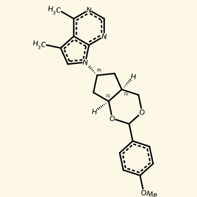 COc1ccc(C2OC[C@@H]3C[C@@H](n4cc(C)c5c(C)ncnc54)C[C@@H]3O2)cc1